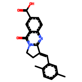 Cc1ccc(C)c(C=C2CCn3c2nc2ccc(C(=O)O)cc2c3=O)c1